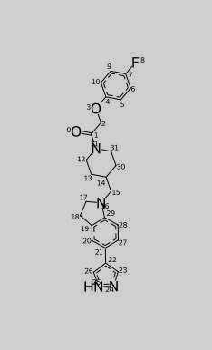 O=C(COc1ccc(F)cc1)N1CCC(CN2CCc3cc(-c4cn[nH]c4)ccc32)CC1